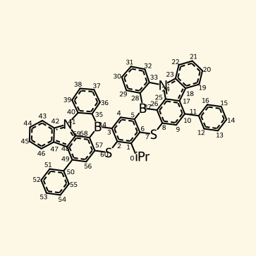 CC(C)c1c2c(cc3c1Sc1cc(-c4ccccc4)c4c5ccccc5n5c4c1B3c1ccccc1-5)B1c3ccccc3-n3c4ccccc4c4c(-c5ccccc5)cc(c1c43)S2